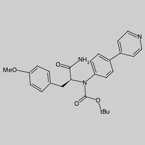 COc1ccc(C[C@@H](C(N)=O)N(C(=O)OC(C)(C)C)c2ccc(-c3ccncc3)cc2)cc1